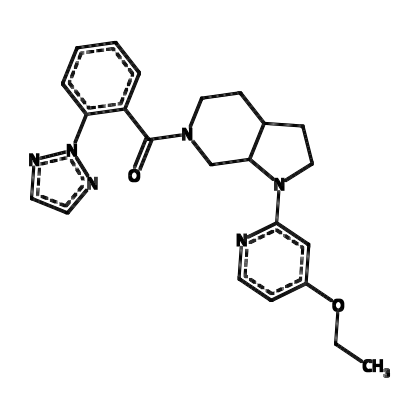 CCOc1ccnc(N2CCC3CCN(C(=O)c4ccccc4-n4nccn4)CC32)c1